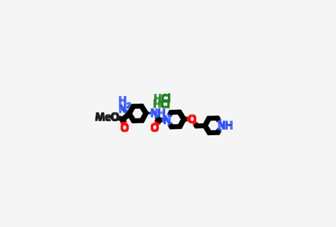 COC(=O)[C@]1(N)CC[C@H](NC(=O)N2CCC(OCC3CCNCC3)CC2)CC1.Cl.Cl